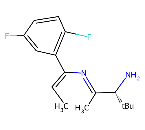 C/C=C(\N=C(/C)[C@H](N)C(C)(C)C)c1cc(F)ccc1F